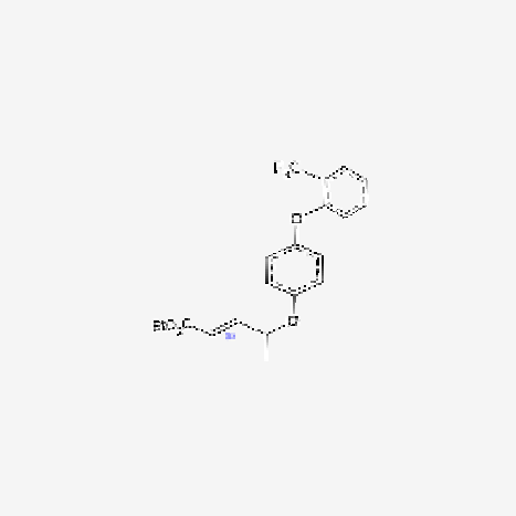 CCOC(=O)/C=C/C(C)Oc1ccc(Oc2ccccc2C(F)(F)F)cc1